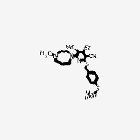 CCc1c(C#N)c(SCc2ccc(SNC)cc2)nc(N2CCCN(C)CC2)c1C#N